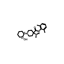 Cc1cccc(C)c1NC(=O)C1(N(C)C)CCN([C@@H]2CCCC[C@H]2O)CC1